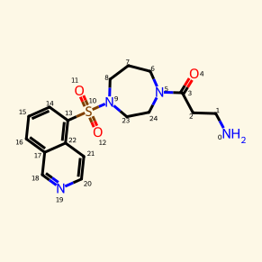 NCCC(=O)N1CCCN(S(=O)(=O)c2cccc3cnccc23)CC1